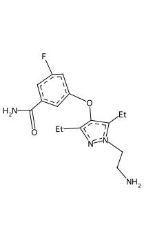 CCc1nn(CCN)c(CC)c1Oc1cc(F)cc(C(N)=O)c1